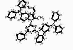 C=C/C=C\c1c(C)n(-c2nc(-c3ccccc3)nc(-n3c4ccccc4c4cc(N(c5ccccc5)c5ccccc5)ccc43)n2)c2ccc(N(c3ccccc3)c3ccccc3)cc12